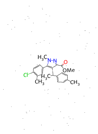 COC(=O)c1nn(C)c(-c2ccc(Cl)c(C)c2)c1C(C)c1ccc(C)cc1